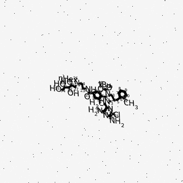 C=C(NC[C@@H](Cc1ccccc1C)CN(Cc1ccc(C(=O)NCCN(CCCCCC)C[C@@H](O)[C@H](O)[C@@H](O)CO)cc1)C(=O)OC(C)(C)C)c1nc(Cl)c(N)nc1N